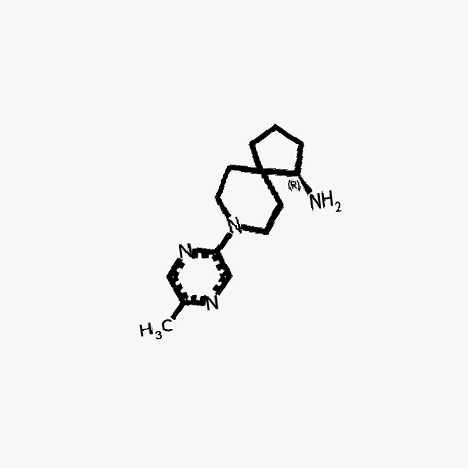 Cc1cnc(N2CCC3(CCC[C@H]3N)CC2)cn1